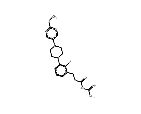 COc1ncc(N2CCN(c3cccc(COC(=O)NC(=N)N)c3F)CC2)cn1